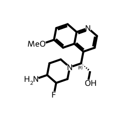 COc1ccc2nccc([C@H](CO)N3CCC(N)C(F)C3)c2c1